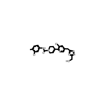 Cc1ccc(NC(=O)N2CC=C(c3ncc(Cc4nnc(CO)o4)cc3Cl)CC2)cc1Cl